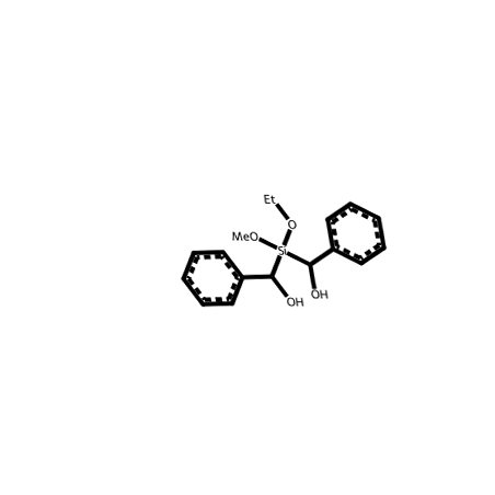 CCO[Si](OC)(C(O)c1ccccc1)C(O)c1ccccc1